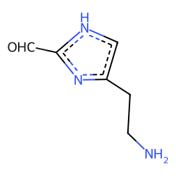 NCCc1c[nH]c(C=O)n1